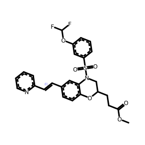 COC(=O)CCC1CN(S(=O)(=O)c2cccc(OC(F)F)c2)c2cc(/C=C/c3ccccn3)ccc2O1